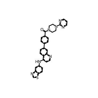 O=C(c1ccc(-c2ccc3c(Nc4ccc5scnc5c4)ccnc3c2)cc1)N1CCN(c2ncccn2)CC1